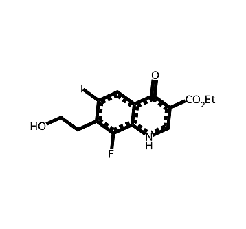 CCOC(=O)c1c[nH]c2c(F)c(CCO)c(I)cc2c1=O